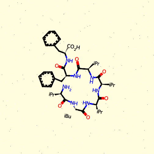 CC[C@H](C)[C@H](NC(=O)[C@H](N)C(C)C)C(=O)N[C@@H](C(=O)N[C@@H](C(=O)N[C@@H](C(=O)N[C@@H](Cc1ccccc1)C(=O)N[C@H](Cc1ccccc1)C(=O)O)C(C)C)C(C)C)C(C)C